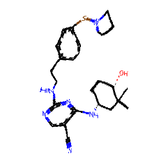 CC1(C)C[C@H](Nc2nc(NCCc3ccc(SN4CCC4)cc3)ncc2C#N)CC[C@@H]1O